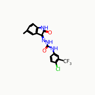 Cc1ccc2c(c1)C(=NNC(=O)Nc1ccc(Cl)c(C(F)(F)F)c1)C(=O)N2